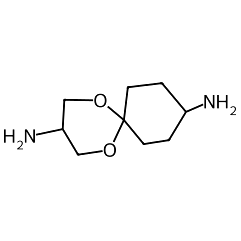 NC1CCC2(CC1)OCC(N)CO2